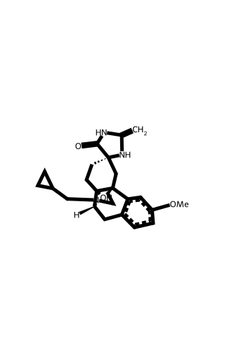 C=C1NC(=O)[C@@]2(CC[C@@]3(O)[C@H]4Cc5ccc(OC)cc5[C@@]3(CCN4CC3CC3)C2)N1